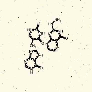 Cc1c[nH]c(=O)[nH]c1=O.NNc1nc2nccnc2c(=O)[nH]1.O=c1[nH]cnc2nc[nH]c12